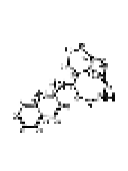 c1ccc2nc(NC3CCNc4cc5c(s4)CCCC53)ccc2c1